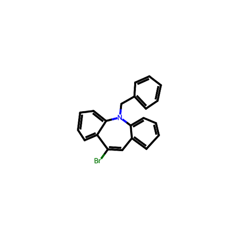 BrC1=Cc2ccccc2N(Cc2ccccc2)c2ccccc21